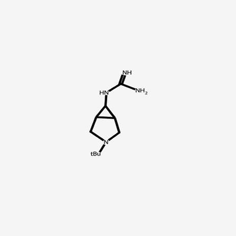 CC(C)(C)N1CC2C(C1)C2NC(=N)N